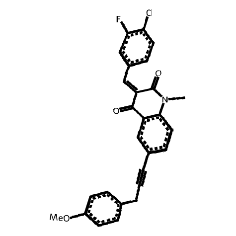 COc1ccc(CC#Cc2ccc3c(c2)C(=O)/C(=C/c2ccc(Cl)c(F)c2)C(=O)N3C)cc1